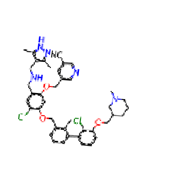 Cc1n[nH]c(C)c1CNCc1cc(Cl)c(OCc2cccc(-c3cccc(OCC4CCCN(C)C4)c3Cl)c2C)cc1OCc1cncc(C#N)c1